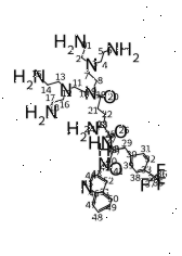 NCCN(CCN)CCN(CCN(CCN)CCN)C(=O)CC[C@H](N)C(=O)N[C@@H](Cc1ccc(C(F)(F)F)cc1)C(=O)Nc1cnc2ccccc2c1